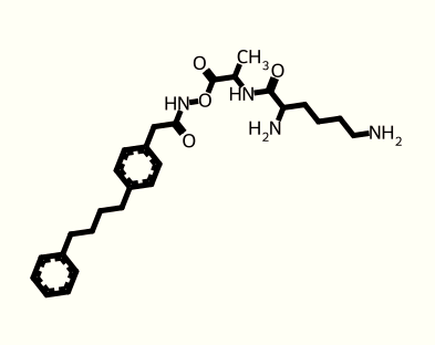 CC(NC(=O)C(N)CCCCN)C(=O)ONC(=O)Cc1ccc(CCCCc2ccccc2)cc1